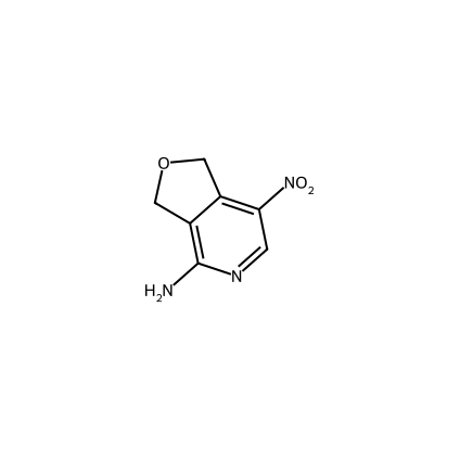 Nc1ncc([N+](=O)[O-])c2c1COC2